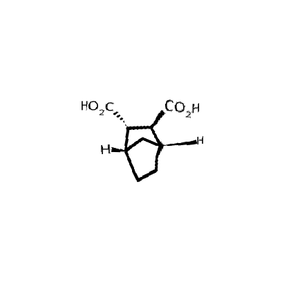 O=C(O)C1[C@@H]2CC[C@@H](C2)[C@@H]1C(=O)O